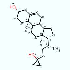 C[C@H](CCC1(O)CC1)[C@H]1CCC2C3CC=C4C[C@@H](O)CC[C@]4(C)C3CC[C@@]21C